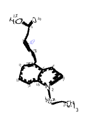 CNn1ccc2c(/C=C/C(=O)O)cccc21